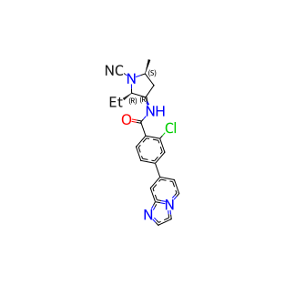 CC[C@@H]1[C@H](NC(=O)c2ccc(-c3ccn4ccnc4c3)cc2Cl)C[C@H](C)N1C#N